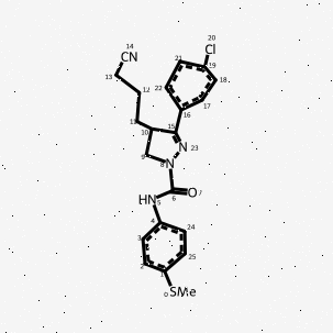 CSc1ccc(NC(=O)N2CC(CCCC#N)C(c3ccc(Cl)cc3)=N2)cc1